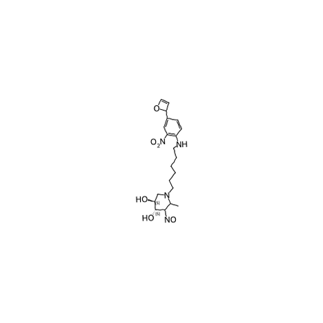 CC1C(N=O)[C@H](O)[C@@H](O)CN1CCCCCCNc1ccc(C2C=CO2)cc1[N+](=O)[O-]